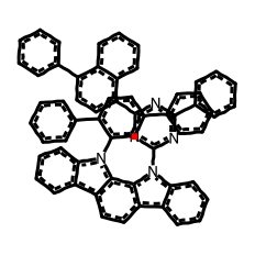 c1ccc(-c2ccc(-c3ccccc3)c(-n3c4ccccc4c4ccc5c6ccccc6n(-c6nc(-c7ccccc7)nc(-c7ccc(-c8ccccc8)c8ccccc78)n6)c5c43)c2)cc1